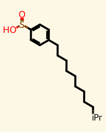 CC(C)CCCCCCCCCc1ccc(S(=O)O)cc1